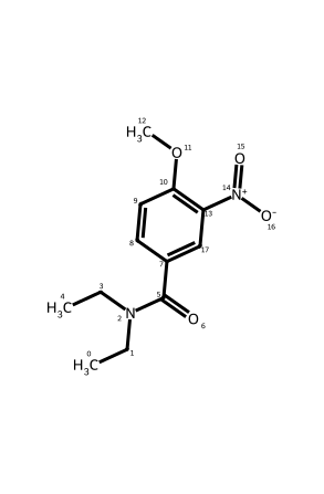 CCN(CC)C(=O)c1ccc(OC)c([N+](=O)[O-])c1